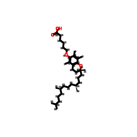 Cc1c(C)c2c(c(C)c1OCCCCCC(=O)O)CC[C@@](C)(CCC[C@H](C)CCC[C@H](C)CCCC(C)C)O2